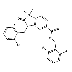 CC1(C)C(=O)N(Cc2c(F)cccc2Cl)c2cc(C(=O)NCc3c(F)cccc3F)ccc21